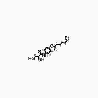 CC/C=C\CCCC(=O)Oc1ccc(NC(=O)C(O)CO)cc1